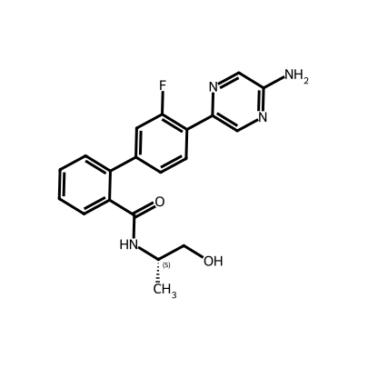 C[C@@H](CO)NC(=O)c1ccccc1-c1ccc(-c2cnc(N)cn2)c(F)c1